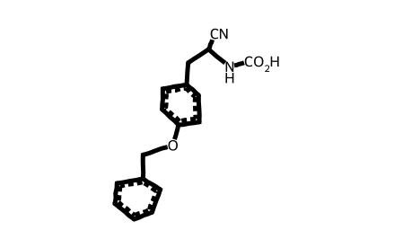 N#CC(Cc1ccc(OCc2ccccc2)cc1)NC(=O)O